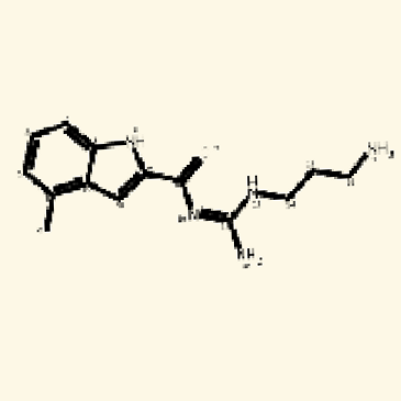 Cc1cccc2[nH]c(C(=O)N=C(N)NCCCN)cc12